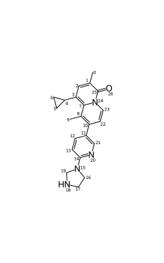 Cc1cc(C2CC2)c2c(C)c(-c3ccc(N4CCNC4)nc3)ccn2c1=O